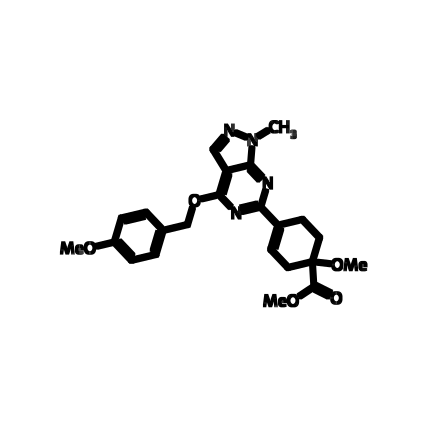 COC(=O)C1(OC)CC=C(c2nc(OCc3ccc(OC)cc3)c3cnn(C)c3n2)CC1